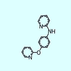 c1ccc(Nc2ccc(Oc3ccccn3)cc2)nc1